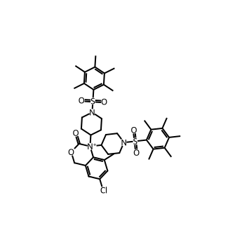 Cc1cc(Cl)cc2c1[N+](C1CCN(S(=O)(=O)c3c(C)c(C)c(C)c(C)c3C)CC1)(C1CCN(S(=O)(=O)c3c(C)c(C)c(C)c(C)c3C)CC1)C(=O)OC2